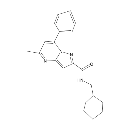 Cc1cc(-c2ccccc2)n2nc(C(=O)NCC3CCCCC3)cc2n1